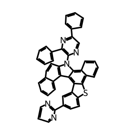 c1ccc(-c2cnc(-n3c4ccc5ccccc5c4c4c5c6cc(-c7ncccn7)ccc6sc5c5ccccc5c43)c(-c3ccccc3)n2)cc1